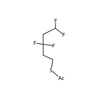 CC(=O)SCCC(F)(F)CC(F)F